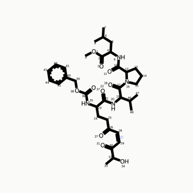 COC(=O)C(CC(C)C)NC(=O)C1CCCN1C(=O)C(NC(=O)C(CCC(=O)/C=C\C(=O)C(C)O)NC(=O)OCc1ccccc1)C(C)C